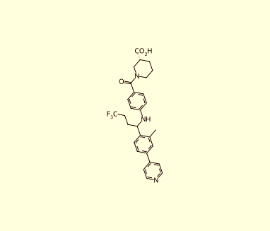 Cc1cc(-c2ccncc2)ccc1C(CCC(F)(F)F)Nc1ccc(C(=O)N2CCC[C@@H](C(=O)O)C2)cc1